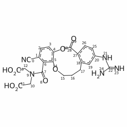 N#Cc1ccc2c(c1C(=O)N(CC(=O)O)CC(=O)O)OCCCc1cc(NC(=N)N)ccc1C(=O)O2